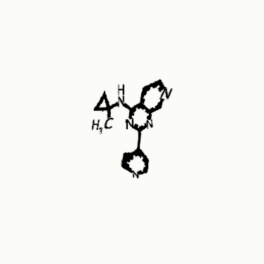 CC1(Nc2nc(-c3ccncc3)nc3cnccc23)CC1